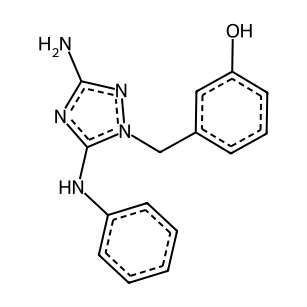 Nc1nc(Nc2ccccc2)n(Cc2cccc(O)c2)n1